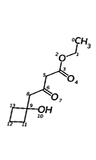 CCOC(=O)CC(=O)CC1(O)CCC1